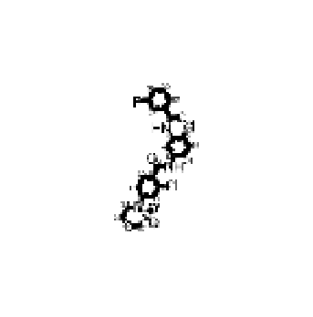 O=C(Nc1cc(NC(=O)c2ccc(N3CCOCS3(=O)=O)cc2Cl)ccc1Cl)c1cccc(F)c1